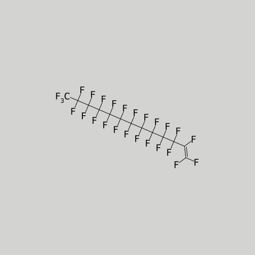 FC(F)=C(F)C(F)(F)C(F)(F)C(F)(F)C(F)(F)C(F)(F)C(F)(F)C(F)(F)C(F)(F)C(F)(F)C(F)(F)C(F)(F)F